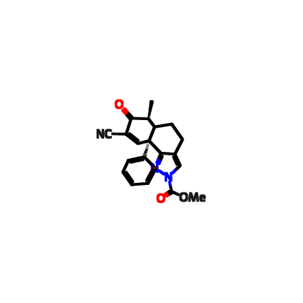 COC(=O)n1cc2c(n1)[C@@]1(c3ccccc3)C=C(C#N)C(=O)[C@@H](C)C1CC2